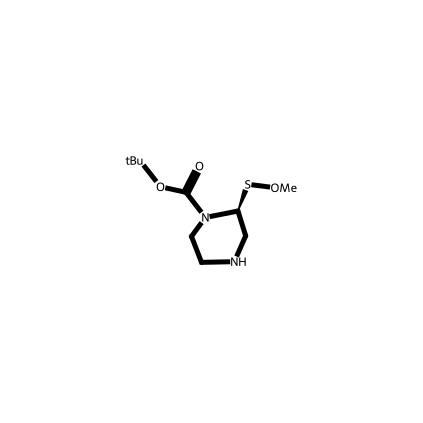 COS[C@H]1CNCCN1C(=O)OC(C)(C)C